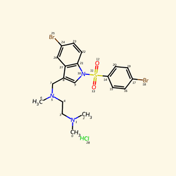 CN(C)CCN(C)Cc1cn(S(=O)(=O)c2ccc(Br)cc2)c2ccc(Br)cc12.Cl